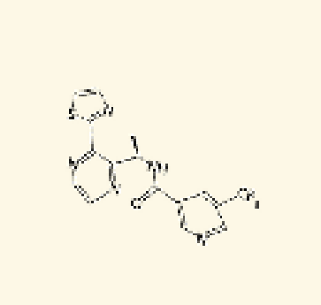 C[C@@H](NC(=O)c1cncc(C(F)(F)F)c1)c1nccnc1-c1nccs1